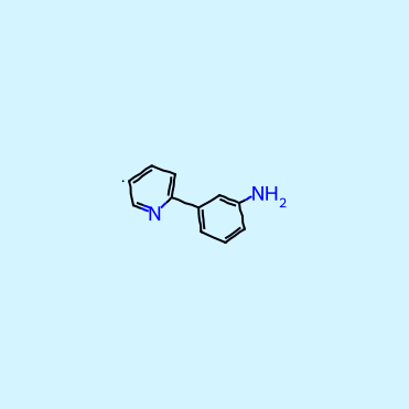 Nc1cccc(-c2cc[c]cn2)c1